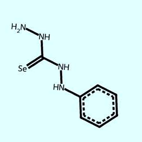 NNC(=[Se])NNc1ccccc1